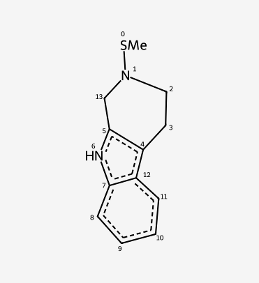 CSN1CCc2c([nH]c3ccccc23)C1